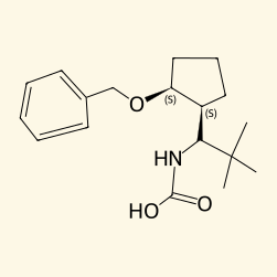 CC(C)(C)C(NC(=O)O)[C@@H]1CCC[C@@H]1OCc1ccccc1